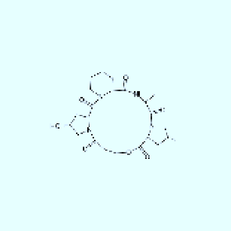 CC1NC(=O)C2CCCCN2C(=O)C2C[C@@H](O)CN2C(=O)CCOC(=O)C2C[C@@H](C)CN2C1=O